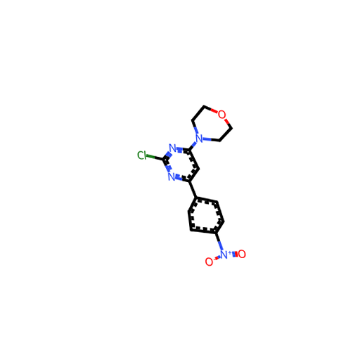 O=[N+]([O-])c1ccc(-c2cc(N3CCOCC3)nc(Cl)n2)cc1